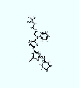 Cc1cc(-c2cnc(N(COCC[Si](C)(C)C)c3ccccn3)s2)nc(OC2CCCCC2)n1